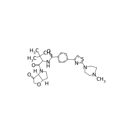 CN1CCN(c2nc(-c3ccc(C(=O)NC(C(=O)N4CC[C@H]5OCC(=O)[C@H]54)C(C)(C)C)cc3)cs2)CC1